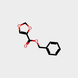 O=C(OCc1ccccc1)C1=COCO1